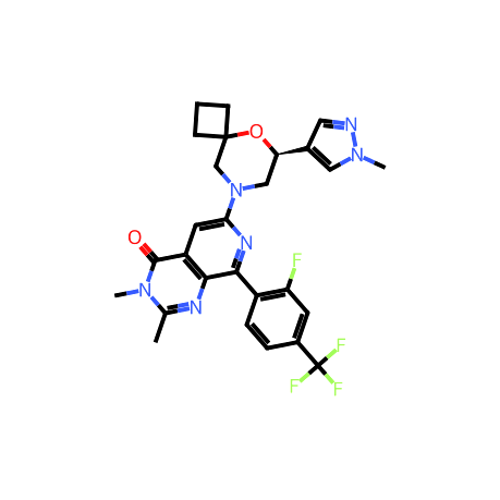 Cc1nc2c(-c3ccc(C(F)(F)F)cc3F)nc(N3C[C@H](c4cnn(C)c4)OC4(CCC4)C3)cc2c(=O)n1C